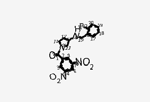 O=C(c1cc([N+](=O)[O-])cc([N+](=O)[O-])c1)N1CCC(NCc2ccccc2F)C1